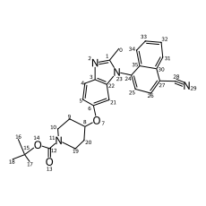 Cc1nc2ccc(OC3CCN(C(=O)OC(C)(C)C)CC3)cc2n1-c1ccc(C#N)c2ccccc12